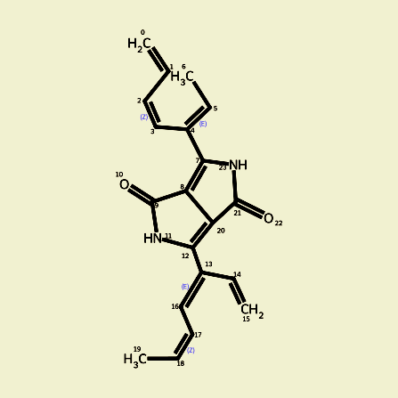 C=C/C=C\C(=C/C)C1=C2C(=O)NC(/C(C=C)=C/C=C\C)=C2C(=O)N1